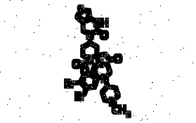 CN1CCC(N2CCN(C3(CC=O)CC(N4Cc5cscc5NC4=O)CC[N@+]3(Cc3ccc(Br)c(Br)c3)C(=O)[O-])CC2)CC1